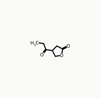 CCC(=O)C1COC(=O)C1